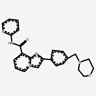 O=C(Nc1ccccn1)c1cccn2cc(-c3ccc(CN4CCOCC4)cc3)nc12